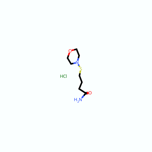 Cl.NC(=O)CCCSN1CCOCC1